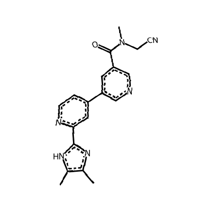 Cc1nc(-c2cc(-c3cncc(C(=O)N(C)CC#N)c3)ccn2)[nH]c1C